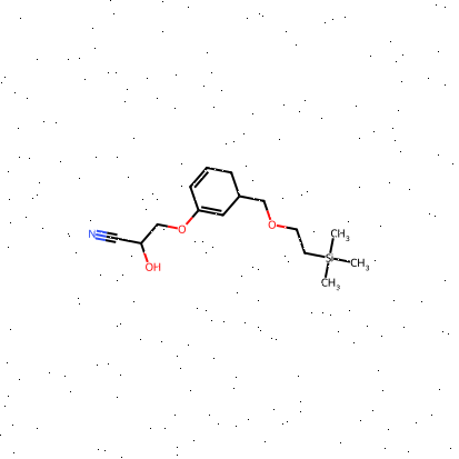 C[Si](C)(C)CCOCC1C=C(OCC(O)C#N)C=CC1